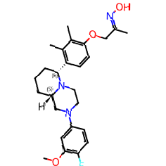 COc1cc(N2CCN3[C@@H](CCC[C@@H]3c3ccc(OCC(C)=NO)c(C)c3C)C2)ccc1F